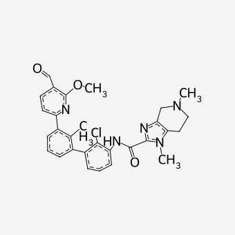 COc1nc(-c2cccc(-c3cccc(NC(=O)c4nc5c(n4C)CCN(C)C5)c3Cl)c2C)ccc1C=O